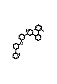 Cc1cccc(C)c1-c1ccccc1-c1ccnc(-c2cccc(Oc3cccc(-c4ccccn4)c3)c2)c1